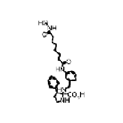 O=C(CCCCCCC(=O)Nc1cccc(CN[C@@]2(C(=O)O)NCCC2c2ccccc2)c1)NO